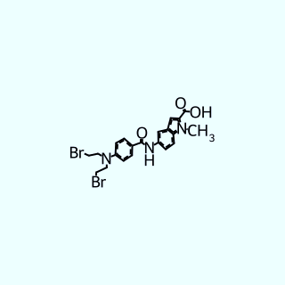 Cn1c(C(=O)O)cc2cc(NC(=O)c3ccc(N(CCBr)CCBr)cc3)ccc21